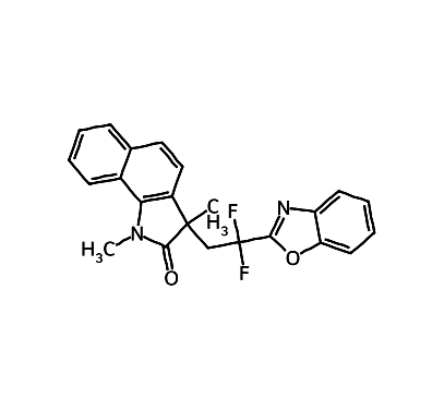 CN1C(=O)C(C)(CC(F)(F)c2nc3ccccc3o2)c2ccc3ccccc3c21